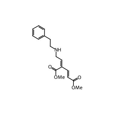 COC(=O)C=CC(=CCNCCc1ccccc1)C(=O)OC